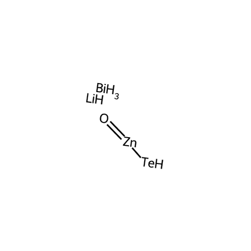 [BiH3].[LiH].[O]=[Zn][TeH]